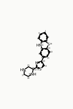 c1ccc2c(c1)Nc1cc(-c3csc(C4CNCCN4)n3)ccc1S2